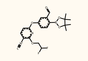 [C-]#[N+]c1ccc(Oc2ccc(B3OC(C)(C)C(C)(C)O3)c(C=O)c2)nc1OCC(F)F